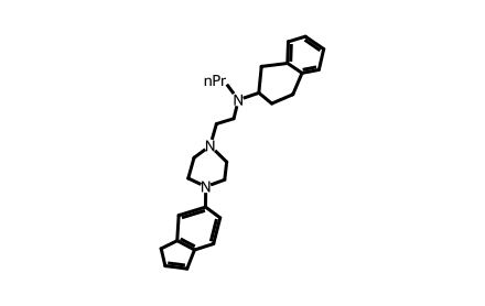 CCCN(CCN1CCN(c2ccc3c(c2)CC=C3)CC1)C1CCc2ccccc2C1